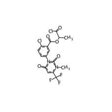 CC(OC(=O)c1cc(-n2c(=O)cc(C(F)(F)F)n(C)c2=O)ccc1Cl)C(=O)Cl